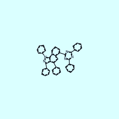 c1ccc(-c2nc(-c3ccccc3)nc(-c3cccc4c3cc(-c3ccccc3)c3c(-c5ccccc5)nn(-c5ccccc5)c34)n2)cc1